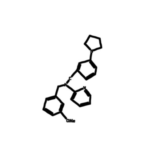 COc1cccc(CN(Cc2cccc(N3CCCC3)c2)c2ccccn2)c1